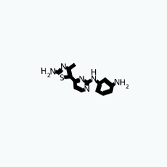 Cc1nc(N)sc1-c1ccnc(Nc2cccc(N)c2)n1